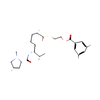 CCC[C@@H]1C[C@@H](C(=O)N[C@@H]([C@H]2O[C@H](SCCOC(=O)c3cc(Cl)cc(Cl)c3)[C@H](O)[C@@H](O)[C@H]2O)[C@@H](C)OC)N(C)C1